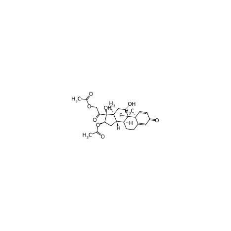 CC(=O)OCC(=O)[C@@]1(O)[C@H](OC(C)=O)C[C@H]2[C@@H]3CCC4=CC(=O)C=C[C@]4(C)C3(F)[C@@H](O)C[C@@]21C